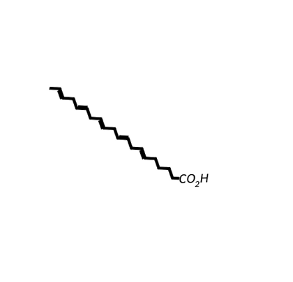 CC=CCC=CCC=CCC=CCC=CCCCCC(=O)O